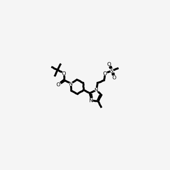 Cc1cn(CCOS(C)(=O)=O)c(C2CCN(C(=O)OC(C)(C)C)CC2)n1